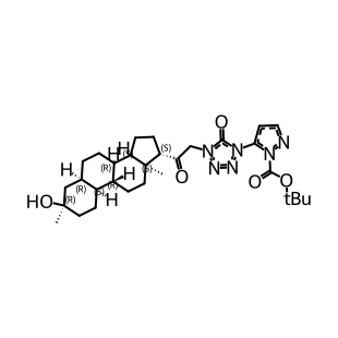 CC(C)(C)OC(=O)n1nccc1-n1nnn(CC(=O)[C@H]2CC[C@H]3[C@@H]4CC[C@@H]5C[C@](C)(O)CC[C@@H]5[C@H]4CC[C@]23C)c1=O